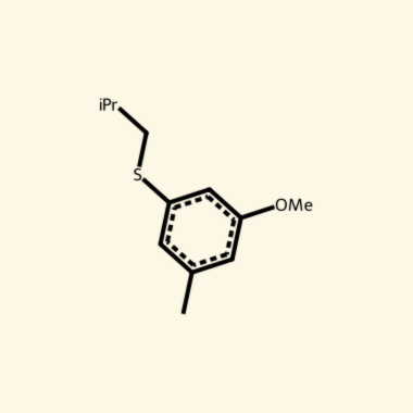 COc1cc(C)cc(SCC(C)C)c1